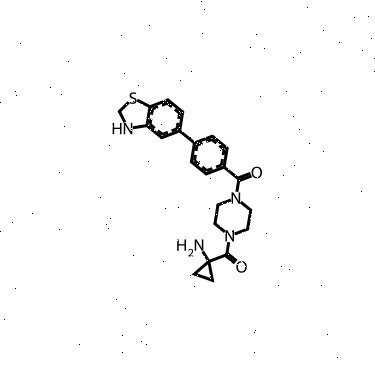 NC1(C(=O)N2CCN(C(=O)c3ccc(-c4ccc5c(c4)NCS5)cc3)CC2)CC1